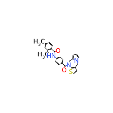 Cc1ccc(C(=O)Nc2ccc(C(=O)N3Cc4cccn4Cc4ccsc43)cc2)c(C)c1